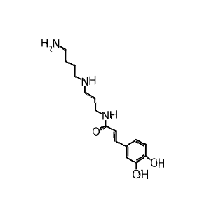 NCCCCNCCCNC(=O)C=Cc1ccc(O)c(O)c1